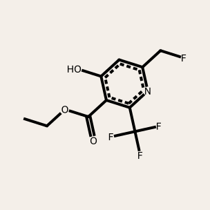 CCOC(=O)c1c(O)cc(CF)nc1C(F)(F)F